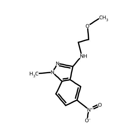 COCCNc1nn(C)c2ccc([N+](=O)[O-])cc12